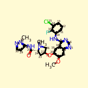 COc1cc2ncnc(Nc3cccc(Cl)c3F)c2cc1OC1C[C@H](C(=O)Nc2ccnn2C)N(C)C1